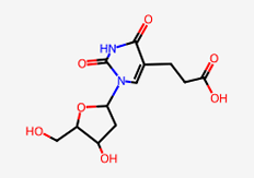 O=C(O)CCc1cn(C2CC(O)C(CO)O2)c(=O)[nH]c1=O